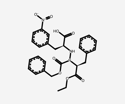 CCOC(=O)[C@H](Cc1ccccc1)N(N[C@@H](Cc1cccc([N+](=O)[O-])c1)C(=O)O)C(=O)OCc1ccccc1